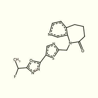 CC(F)c1nnc(-c2cnc(CN3C(=O)CCCc4ccncc43)s2)o1